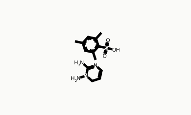 Cc1cc(C)c(S(=O)(=O)O)c(C)c1.NC1=NC=CCN1N